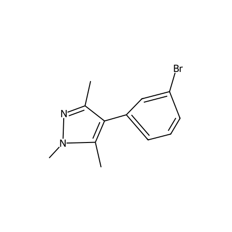 Cc1nn(C)c(C)c1-c1cccc(Br)c1